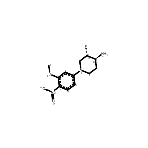 COc1cc(N2CC[C@H](N)[C@@H](F)C2)ccc1[N+](=O)[O-]